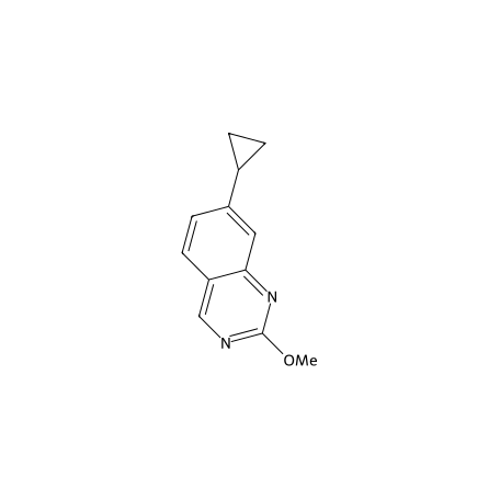 COc1ncc2ccc(C3CC3)cc2n1